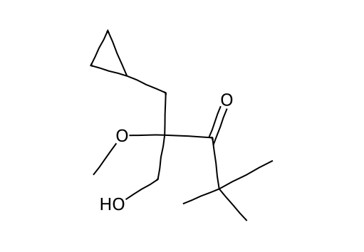 COC(CO)(CC1CC1)C(=O)C(C)(C)C